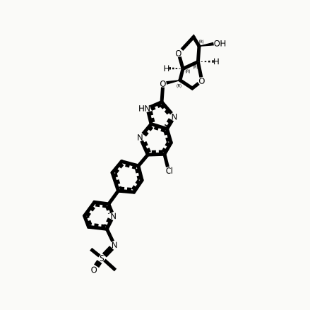 CS(C)(=O)=Nc1cccc(-c2ccc(-c3nc4[nH]c(O[C@@H]5CO[C@H]6[C@@H]5OC[C@H]6O)nc4cc3Cl)cc2)n1